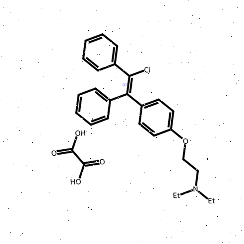 CCN(CC)CCOc1ccc(/C(=C(\Cl)c2ccccc2)c2ccccc2)cc1.O=C(O)C(=O)O